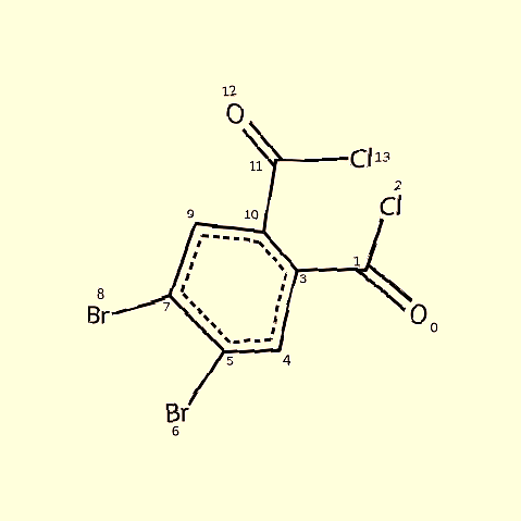 O=C(Cl)c1cc(Br)c(Br)cc1C(=O)Cl